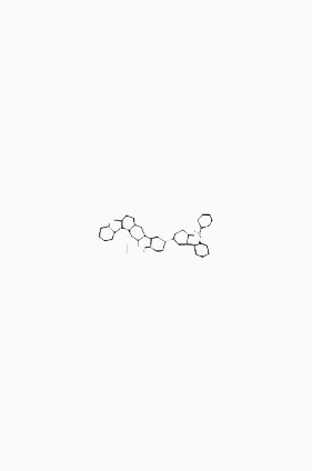 c1ccc(-n2c3ccccc3c3cc(-c4ccc5[nH]c6cc7c(ccc8sc9ccccc9c87)cc6c5c4)ccc32)cc1